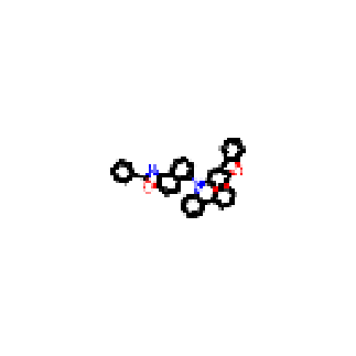 c1ccc(-c2nc3c(ccc4c(N(c5ccc6oc7ccccc7c6c5)c5ccccc5-c5ccccc5)cccc43)o2)cc1